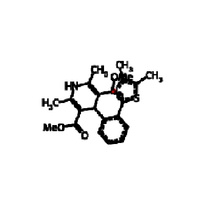 COC(=O)C1=C(C)NC(C)=C(C(=O)OC)C1c1ccccc1-c1nc(C)c(C)s1